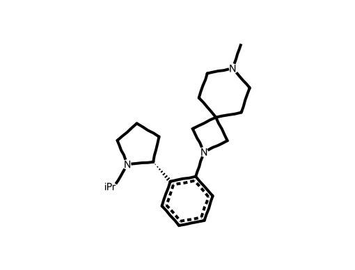 CC(C)N1CCC[C@@H]1c1ccccc1N1CC2(CCN(C)CC2)C1